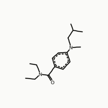 CCN(CC)C(=O)c1ccc(N(C)CC(C)C)cc1